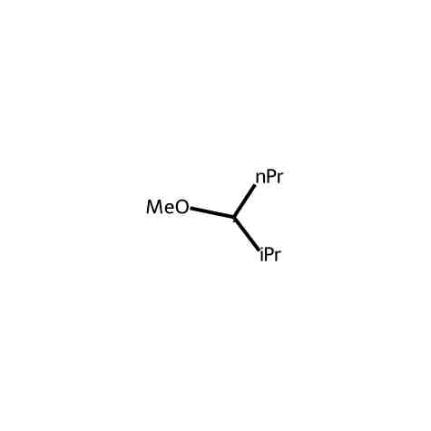 CCC[C](OC)C(C)C